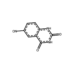 O=Nc1ccc2[nH]c(=O)[nH]c(=O)c2c1